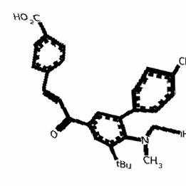 Cc1ccc(-c2cc(C(=O)/C=C/c3ccc(C(=O)O)cc3)cc(C(C)(C)C)c2N(C)CC(C)C)cc1